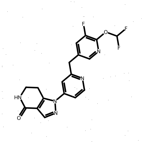 O=C1NCCc2c1cnn2-c1ccnc(Cc2cnc(OC(F)F)c(F)c2)c1